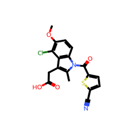 COc1ccc2c(c1Cl)c(CC(=O)O)c(C)n2C(=O)c1ccc(C#N)s1